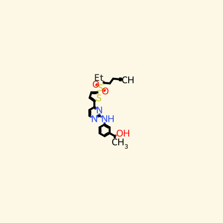 C#CCCC(CC)S(=O)(=O)c1ccc(-c2ccnc(Nc3cccc(C(C)O)c3)n2)s1